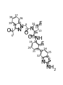 CC(=O)c1nn(CC(=O)N2C[C@H](F)C[C@H]2C(=O)Nc2cccc(-c3ccc4sc(N)nc4c3)c2F)c2ccccc12